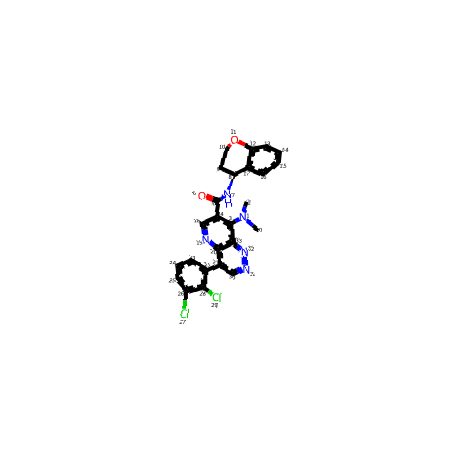 CN(C)c1c(C(=O)N[C@H]2CCOc3ccccc32)cnc2c(-c3cccc(Cl)c3Cl)cnnc12